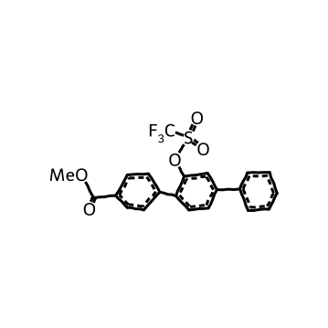 COC(=O)c1ccc(-c2ccc(-c3ccccc3)cc2OS(=O)(=O)C(F)(F)F)cc1